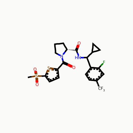 CS(=O)(=O)c1ccc(C(=O)N2CCC[C@@H]2C(=O)NC(c2ccc(C(F)(F)F)cc2F)C2CC2)s1